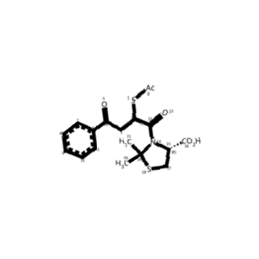 CC(=O)SC(CC(=O)c1ccccc1)C(=O)N1[C@H](C(=O)O)CSC1(C)C